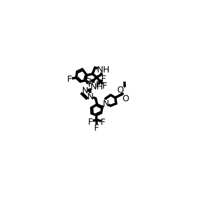 CCOC(=O)C1CCN(c2cc(C(F)(F)F)ccc2Cn2ccnc2NC(=O)C2(C(F)(F)F)CNCC2c2ccc(F)cc2F)CC1